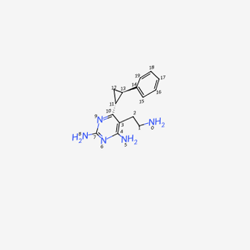 NCCc1c(N)nc(N)nc1[C@@H]1C[C@H]1c1ccccc1